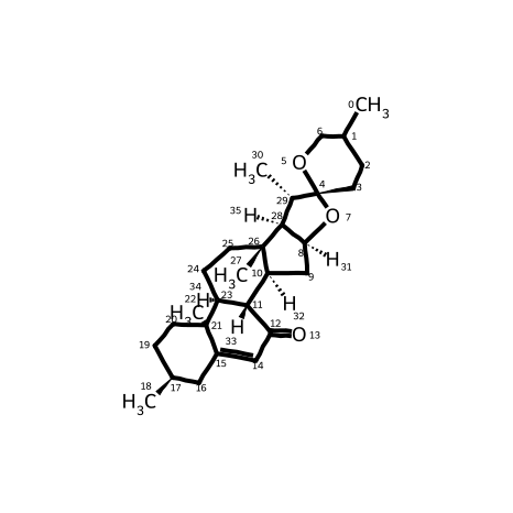 CC1CC[C@@]2(OC1)O[C@H]1C[C@H]3[C@@H]4C(=O)C=C5C[C@@H](C)CC[C@]5(C)[C@H]4CC[C@]3(C)[C@H]1[C@@H]2C